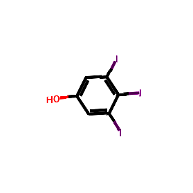 Oc1cc(I)c(I)c(I)c1